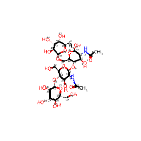 CC(=O)N[C@@H]1[C@@H](O)[C@H](O[C@@H]2O[C@H](CO)[C@@H](O[C@@H]3O[C@H](CO)[C@@H](O)[C@H](O)[C@@H]3O)[C@H](O)[C@H]2NC(C)=O)[C@@H](CO[C@@H]2O[C@@H](C)[C@@H](O)[C@@H](O)[C@@H]2O)O[C@H]1O